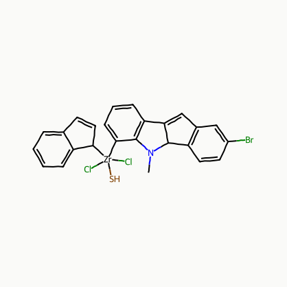 CN1c2c(ccc[c]2[Zr]([SH])([Cl])([Cl])[CH]2C=Cc3ccccc32)C2=Cc3cc(Br)ccc3C21